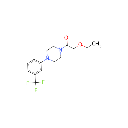 CCOCC(=O)N1CCN(c2cccc(C(F)(F)F)c2)CC1